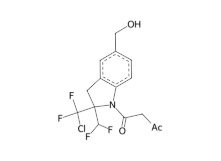 CC(=O)CC(=O)N1c2ccc(CO)cc2CC1(C(F)F)C(F)(F)Cl